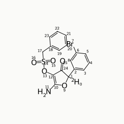 [2H]C1(c2cccc(Br)c2)OC(N)=C(OS(=O)(=O)Cc2ccccc2)C1=O